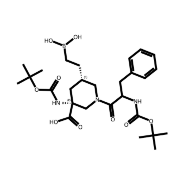 CC(C)(C)OC(=O)NC(Cc1ccccc1)C(=O)N1C[C@@H](CCB(O)O)C[C@](NC(=O)OC(C)(C)C)(C(=O)O)C1